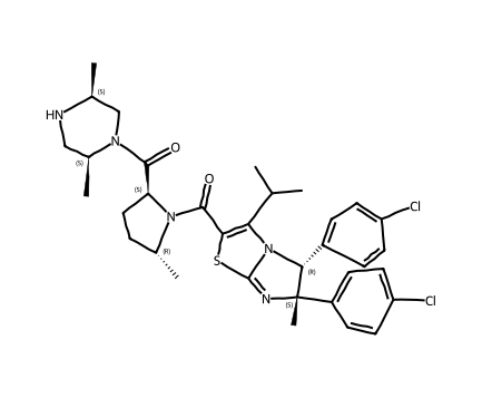 CC(C)C1=C(C(=O)N2[C@H](C)CC[C@H]2C(=O)N2C[C@H](C)NC[C@@H]2C)SC2=N[C@@](C)(c3ccc(Cl)cc3)[C@@H](c3ccc(Cl)cc3)N21